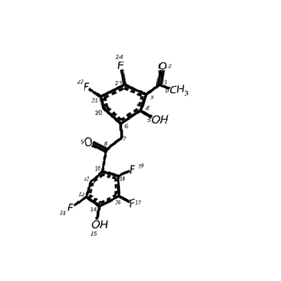 CC(=O)c1c(O)c(CC(=O)c2cc(F)c(O)c(F)c2F)cc(F)c1F